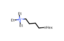 CCCCCCCCCC[N+](CC)(CC)CC